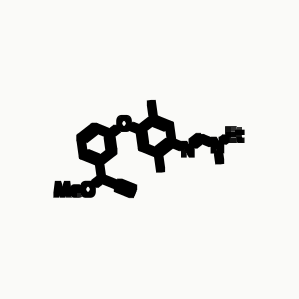 C#CC(OC)c1cccc(Oc2cc(C)c(/N=C/N(C)CC)cc2C)c1